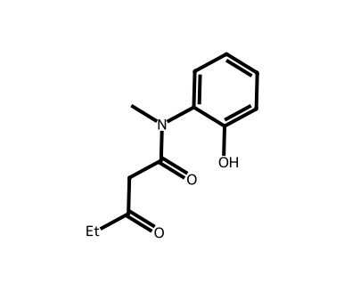 CCC(=O)CC(=O)N(C)c1ccccc1O